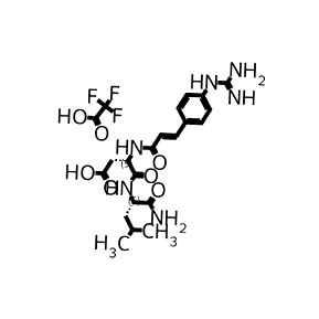 CC(C)C[C@H](NC(=O)[C@H](CC(=O)O)NC(=O)C=Cc1ccc(NC(=N)N)cc1)C(N)=O.O=C(O)C(F)(F)F